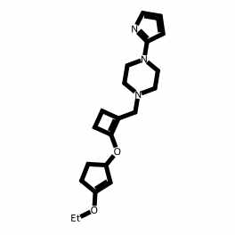 CCOC1=CC(OC2=C(CN3CCN(C4=NC=C=C4)CC3)CC2)CC1